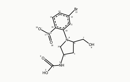 O=C(O)NC1CC(CO)N(c2cc(Br)ccc2[N+](=O)[O-])C1